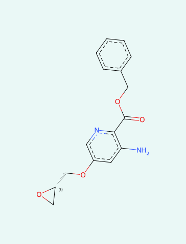 Nc1cc(OC[C@@H]2CO2)cnc1C(=O)OCc1ccccc1